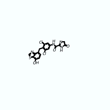 O=C1CN=C(C(=O)Nc2cc(Cl)c(Cc3ccc(O)c4scnc34)c(Cl)c2)N1